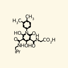 Cc1ccc(-n2c(O)c(C(=O)NCC(C)C)c(O)c(C(=O)NCC(=O)O)c2=O)cc1C